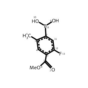 COC(=O)c1cc(C)c(B(O)O)cc1F